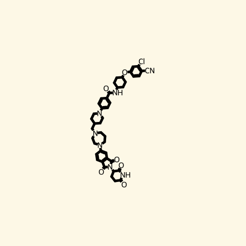 N#Cc1ccc(OC2CCC(NC(=O)c3ccc(N4CCC(CN5CCCN(c6ccc7c(c6)C(=O)N(C6CCC(=O)NC6=O)C7=O)CC5)CC4)cc3)CC2)cc1Cl